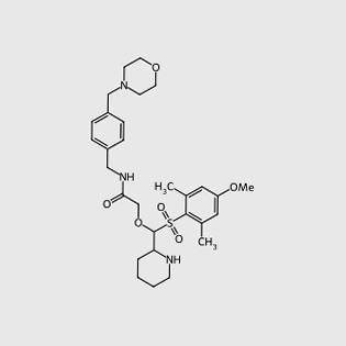 COc1cc(C)c(S(=O)(=O)C(OCC(=O)NCc2ccc(CN3CCOCC3)cc2)C2CCCCN2)c(C)c1